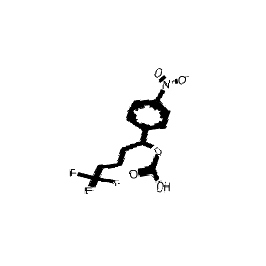 O=C(O)OC(CCCC(F)(F)F)c1ccc([N+](=O)[O-])cc1